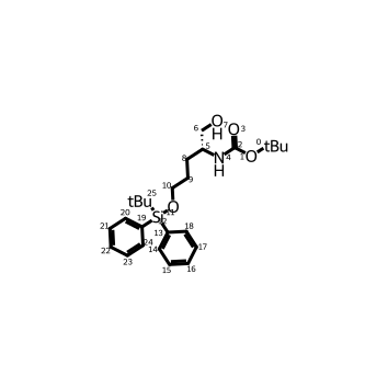 CC(C)(C)OC(=O)N[C@@H](CO)CCCO[Si](c1ccccc1)(c1ccccc1)C(C)(C)C